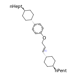 CCCCCCC[C@H]1CC[C@H](c2ccc(OC/C=C/[C@H]3CC[C@H](CCCCC)CC3)cc2)CC1